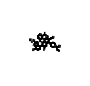 C=CC(=O)N1CCN(c2c(C#N)c(=O)n(-c3c(C)ccnc3C(C)C)c3nc(-c4ccc(F)c5sc(N)nc45)c(F)cc23)CC1